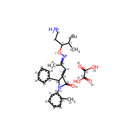 CCC(C)C(C)C(CCN)ON=C(C)/C=C1/C(=O)N(c2ccccc2C)C1c1ccccc1.O=C(O)C(=O)O